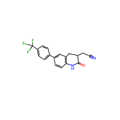 N#CCC1Cc2cc(-c3ccc(C(F)(F)F)cc3)ccc2NC1=O